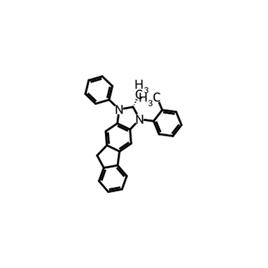 Cc1ccccc1N1c2cc3c(cc2N(c2ccccc2)[C@@H]1C)Cc1ccccc1-3